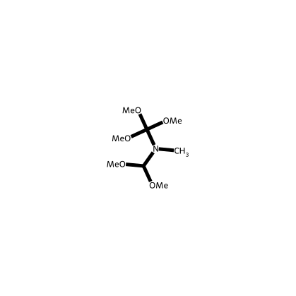 COC(OC)N(C)C(OC)(OC)OC